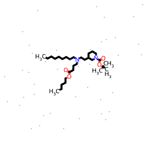 CCCCCCCCCN(CCCC(=O)OCCCCC)CCC1CCCN(C(=O)OC(C)(C)C)C1